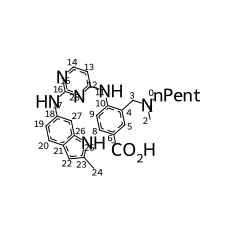 CCCCCN(C)Cc1cc(C(=O)O)ccc1Nc1ccnc(Nc2ccc3cc(C)[nH]c3c2)n1